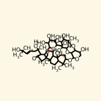 CC1OC(OC2C(OC3CCC4(C)C(CCC5(C)C4CCC4C(C(C)(O)C/C=C/C(C)(C)O)C(=O)CC45COC4OC(CO)C(O)C(O)C4O)C3(C)C)OCC(O)C2O)C(O)C(O)C1O